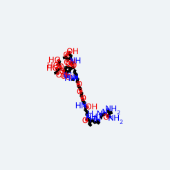 C=C(CC/C(=C\C)C(=O)NCCCC(O)NCCOCCOCCOCCN(CCC[C@H](OC(=O)NC1CC(O)OC(C)C1O)c1ccc(O[C@H](OC(O)CO)C(O)C(C)O)c([N+](=O)[O-])c1)NC)NC/C(N)=C/N=C(/N)C(=C)C(N)=O